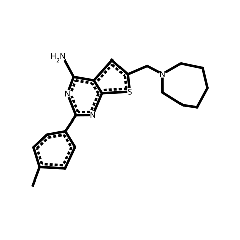 Cc1ccc(-c2nc(N)c3cc(CN4CCCCCC4)sc3n2)cc1